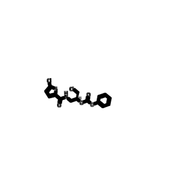 O=C(Oc1ccccc1)O[C@H](CCl)CNC(=O)c1ccc(Cl)s1